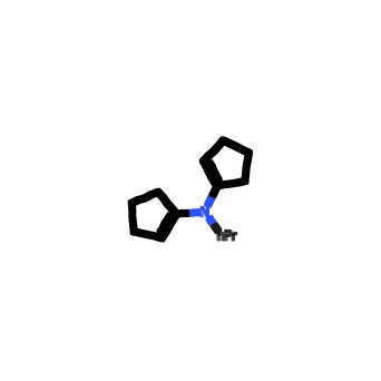 CCCN(C1=CCCC1)C1=CCCC1